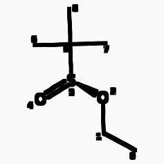 CCO[S@@](=O)C(C)(C)C